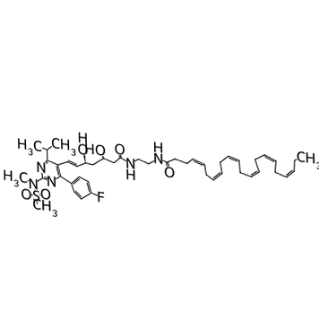 CC/C=C\C/C=C\C/C=C\C/C=C\C/C=C\C/C=C\CCC(=O)NCCNC(=O)C[C@H](O)C[C@H](O)/C=C/c1c(-c2ccc(F)cc2)nc(N(C)S(C)(=O)=O)nc1C(C)C